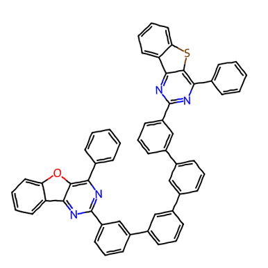 c1ccc(-c2nc(-c3cccc(-c4cccc(-c5cccc(-c6cccc(-c7nc(-c8ccccc8)c8sc9ccccc9c8n7)c6)c5)c4)c3)nc3c2oc2ccccc23)cc1